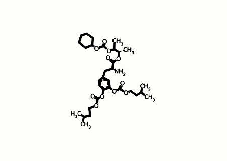 CC(C)CCOC(=O)Oc1ccc(C[C@H](N)C(=O)O[C@@H](C)C(C)OC(=O)OC2CCCCC2)cc1OC(=O)OCCC(C)C